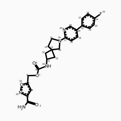 NC(=O)c1cc(COC(=O)NC2CC3(CCN(c4ccc(-c5ccc(F)cc5)cn4)C3)C2)on1